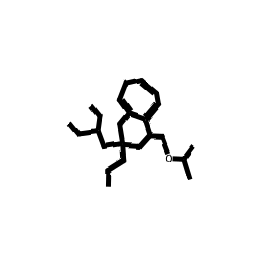 CCCC1(CC(CC)CC)CC2=CCC=CC=C2C(COC(C)C)C1